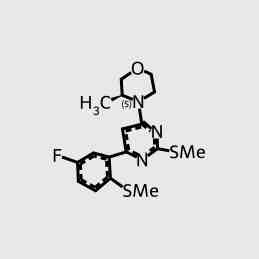 CSc1nc(-c2cc(F)ccc2SC)cc(N2CCOC[C@@H]2C)n1